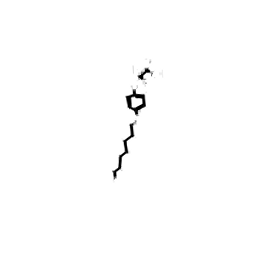 CCCCCCCCOc1ccc(OC(F)(F)C(=O)O)cc1